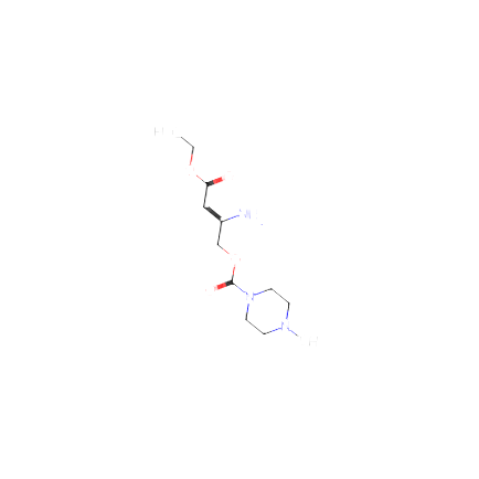 CCOC(=O)C=C(N)COC(=O)N1CCN(C)CC1